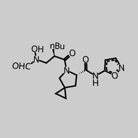 CCCC[C@H](CN(O)C=O)C(=O)N1CC2(CC2)C[C@H]1C(=O)Nc1ccno1